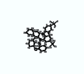 CC(C)(C)c1ccc2c(c1)c1cc(C(C)(C)C)cc3c1n2-c1cc2ccccc2c2c1B3N1c3ccccc3Oc3cccc-2c31